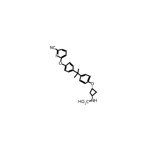 CC(C)(c1ccc(Oc2cccc(C#N)n2)cc1)c1ccc(O[C@H]2C[C@H](NC(=O)O)C2)cc1